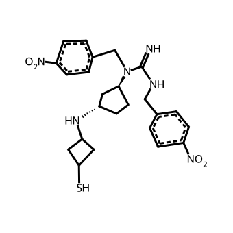 N=C(NCc1ccc([N+](=O)[O-])cc1)N(Cc1ccc([N+](=O)[O-])cc1)[C@H]1CC[C@H](NC2CC(S)C2)C1